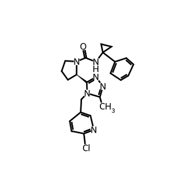 Cc1nnc([C@H]2CCCN2C(=O)NC2(c3ccccc3)CC2)n1Cc1ccc(Cl)nc1